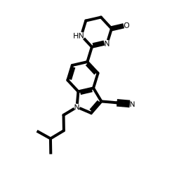 CC(C)CCn1cc(C#N)c2cc(C3=NC(=O)CCN3)ccc21